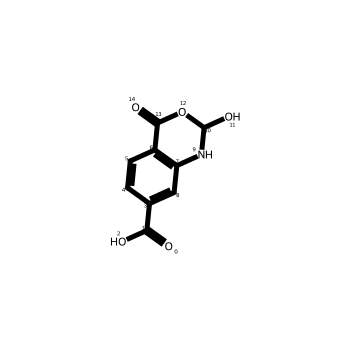 O=C(O)c1ccc2c(c1)NC(O)OC2=O